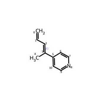 C=C/C=C(\C)c1ccncc1